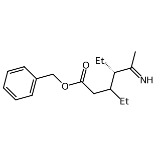 [CH2]CC(CC(=O)OCc1ccccc1)[C@H](CC)C(C)=N